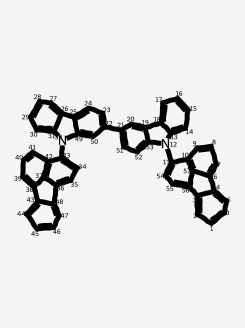 c1ccc2c(c1)-c1cccc3c(-n4c5ccccc5c5cc(-c6ccc7c8ccccc8n(-c8ccc9c%10c(cccc8%10)-c8ccccc8-9)c7c6)ccc54)ccc-2c13